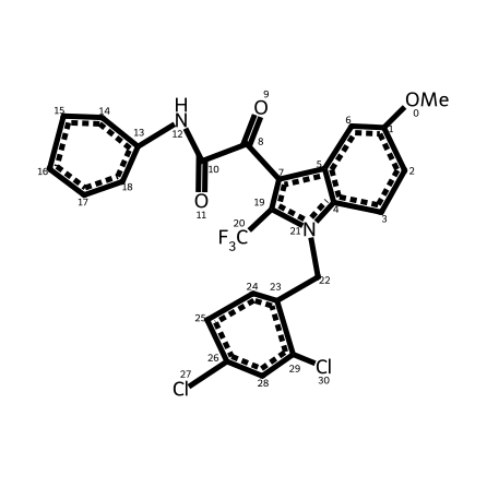 COc1ccc2c(c1)c(C(=O)C(=O)Nc1ccccc1)c(C(F)(F)F)n2Cc1ccc(Cl)cc1Cl